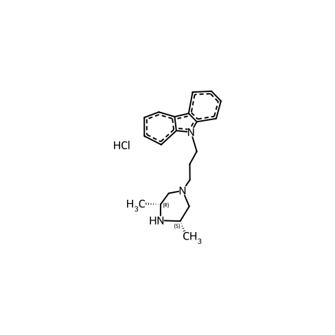 C[C@@H]1CN(CCCn2c3ccccc3c3ccccc32)C[C@H](C)N1.Cl